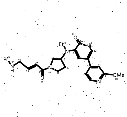 CCN(c1cc(-c2ccnc(OC)c2)c[nH]c1=O)C1CCN(C(=O)/C=C/CNC(C)C)C1